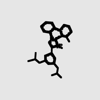 Cc1cccc2c3ccccc3n3cc(-c4cc(CC(C)C)cc(CC(C)C)c4)[n+](C)c3c12